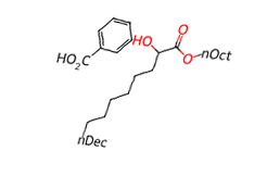 CCCCCCCCCCCCCCCCC(O)C(=O)OCCCCCCCC.O=C(O)c1ccccc1